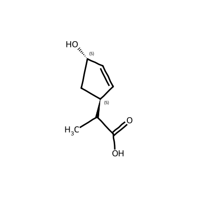 CC(C(=O)O)[C@@H]1C=C[C@@H](O)C1